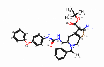 CC(c1ccccc1)N1Cc2sc(N)c(C(=O)OC(C)(C)C)c2CC1CNC(=O)Nc1ccc(Oc2ccccc2)cc1